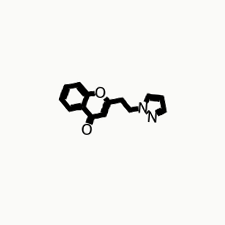 O=c1cc(CCn2cccn2)oc2ccccc12